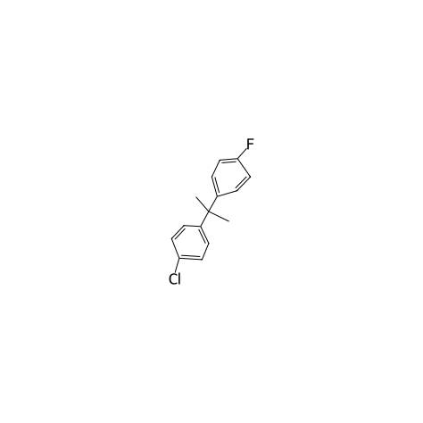 CC(C)(c1ccc(F)cc1)c1ccc(Cl)cc1